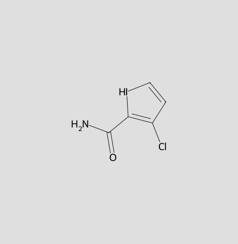 NC(=O)C1=C(Cl)C=C[IH]1